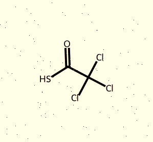 O=C(S)C(Cl)(Cl)Cl